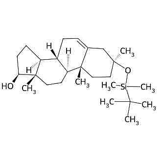 CC(C)(C)[Si](C)(C)O[C@@]1(C)CC[C@@]2(C)C(=CC[C@H]3[C@@H]4CC[C@H](O)[C@@]4(C)CC[C@@H]32)C1